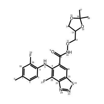 Cc1ccc(Nc2c(C(=O)NOCC3COC(C)(C)O3)cc3snnc3c2F)c(F)c1